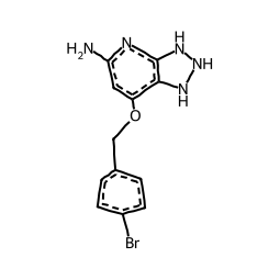 Nc1cc(OCc2ccc(Br)cc2)c2c(n1)NNN2